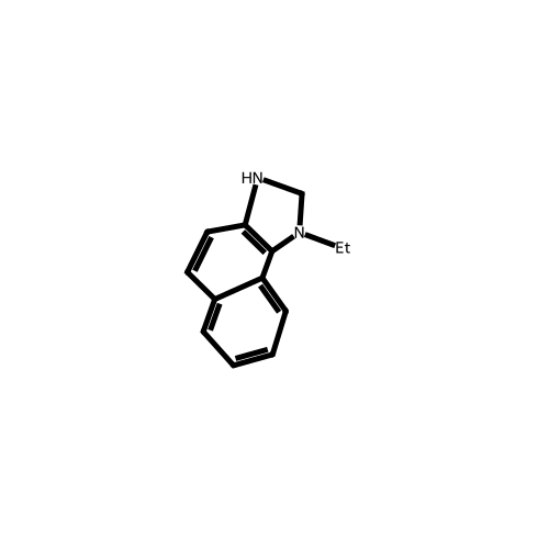 CCN1CNc2ccc3ccccc3c21